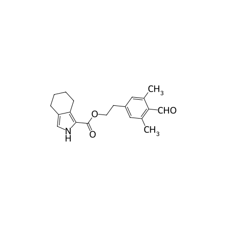 Cc1cc(CCOC(=O)c2[nH]cc3c2CCCC3)cc(C)c1C=O